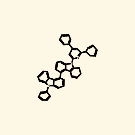 C1=CCC(c2cc(-c3ccccc3)cc(-n3c4c(c5c(-c6cccc7c6c6ccccc6n7-c6ccccc6)cccc53)C=CCC4)n2)C=C1